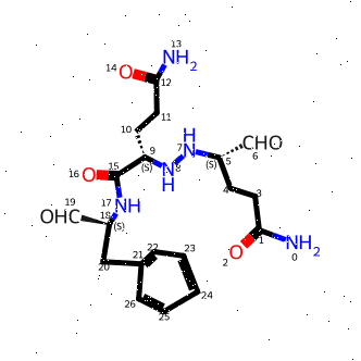 NC(=O)CC[C@@H](C=O)NN[C@@H](CCC(N)=O)C(=O)N[C@H](C=O)Cc1ccccc1